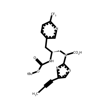 CC#Cc1csc(N(C[C@@H](Cc2ccc(C(F)(F)F)nc2)NC(=O)OC(C)(C)C)C(=O)O)n1